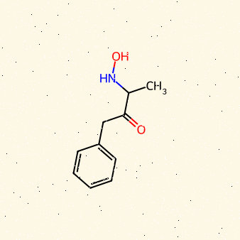 CC(NO)C(=O)Cc1ccccc1